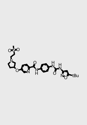 CC(C)(C)c1cc(NC(=O)Nc2ccc(NC(=O)c3ccc(OC4CCN(CCS(C)(=O)=O)C4)cn3)cc2)no1